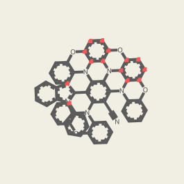 N#Cc1c(N2c3ccccc3Oc3ccccc32)c(-c2nc3ccccc3n2-c2ccccc2)c(N2c3ccccc3Oc3ccccc32)c(N2c3ccccc3Oc3ccccc32)c1N1c2ccccc2Oc2ccccc21